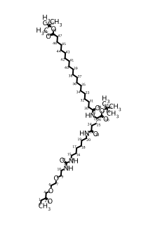 CCC(=O)COCCOCCNC(=O)NCCCCCCNC(=O)CC[C@H](NC(=O)CCCCCCCCCCCCCCCCCCC(=O)OC(C)(C)C)C(=O)OC(C)(C)C